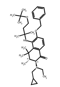 CCN(CC1CC1)[C@@H]1C(=O)c2ccc(OCc3ccccc3)c(NC(C)(C)CCOC(C)(C)C)c2C(C)(C)[C@H]1C